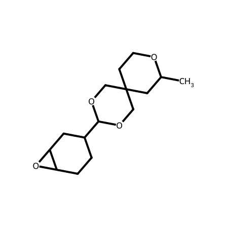 CC1CC2(CCO1)COC(C1CCC3OC3C1)OC2